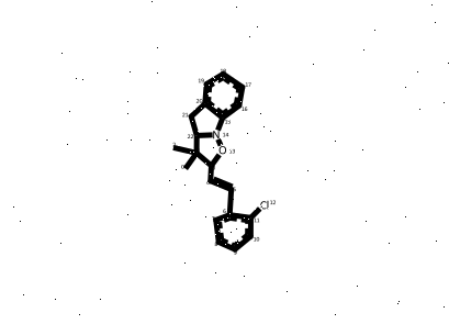 CC1(C)C(C=Cc2ccccc2Cl)ON2c3ccccc3CC21